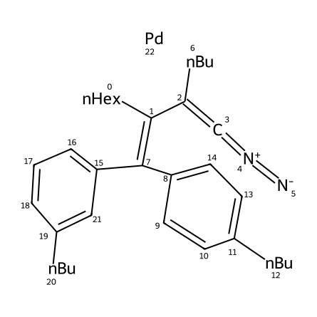 CCCCCCC(C(=C=[N+]=[N-])CCCC)=C(c1ccc(CCCC)cc1)c1cccc(CCCC)c1.[Pd]